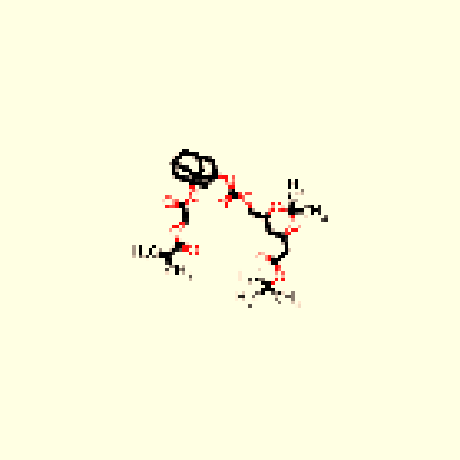 C=C(C)C(=O)OCC(=O)OC12CC3CC(C1)CC(OC(=O)OCC1CC(CC(=O)OC(C)(C)C)OC(C)(C)O1)(C3)C2